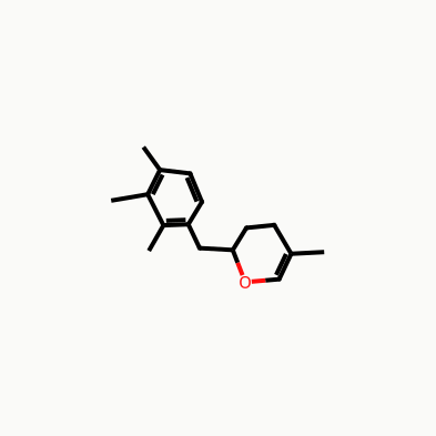 CC1=COC(Cc2ccc(C)c(C)c2C)CC1